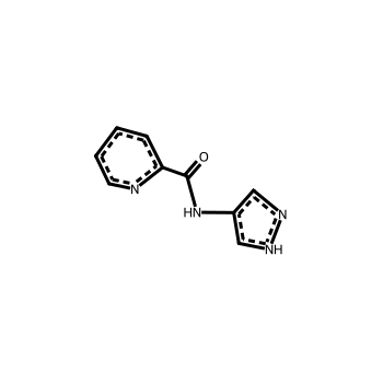 O=C(Nc1cn[nH]c1)c1ccccn1